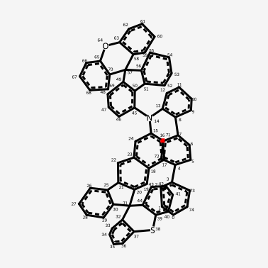 c1ccc(-c2ccc(-c3ccccc3N(c3ccc4cc5c(cc4c3)-c3ccccc3C53c4ccccc4Sc4ccccc43)c3cccc4c3-c3ccccc3C43c4ccccc4Oc4ccccc43)cc2)cc1